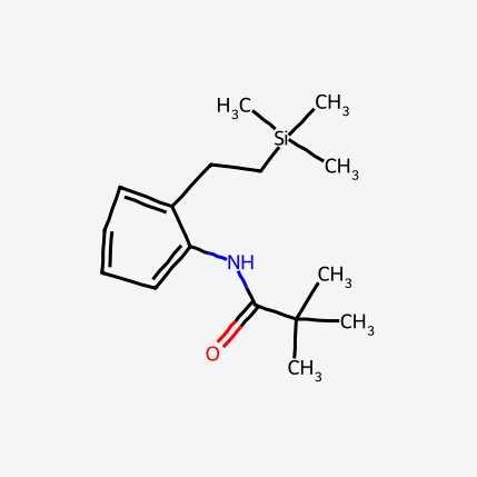 CC(C)(C)C(=O)Nc1ccccc1CC[Si](C)(C)C